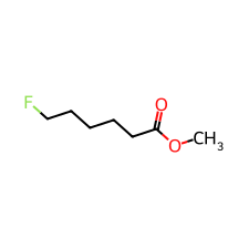 COC(=O)CCCCCF